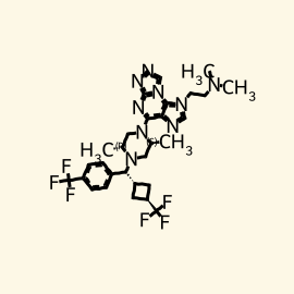 C[C@@H]1CN(c2nc3nncn3c3c2ncn3CCN(C)C)[C@@H](C)CN1C(c1ccc(C(F)(F)F)cc1)[C@H]1C[C@H](C(F)(F)F)C1